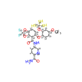 NC(=O)c1ccc(NC(=O)c2c(Oc3ccc(OC(F)(F)F)cc3OC(S)(S)S)ccc3c2OC(F)(F)O3)cn1